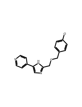 Clc1ccc(COCc2ncc(-c3ccncc3)[nH]2)cc1